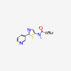 CN(C(=O)C(C)(C)C)c1cnc(-c2cccnc2)s1